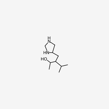 CC(C)C(CC1CNCN1)C(C)O